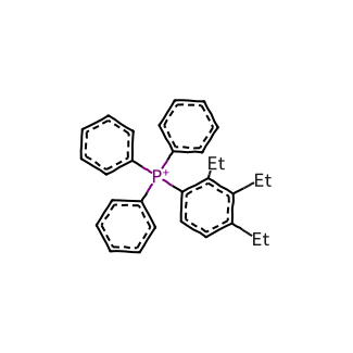 CCc1ccc([P+](c2ccccc2)(c2ccccc2)c2ccccc2)c(CC)c1CC